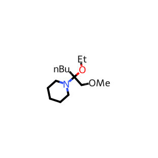 CCCCC(COC)(OCC)N1CCCCC1